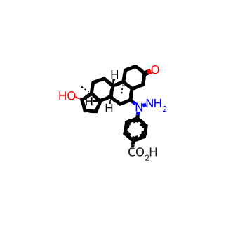 C[C@]12CC[C@H]3[C@@H](CC(N(N)c4ccc(C(=O)O)cc4)C4CC(=O)CC[C@@]43C)[C@@H]1CC[C@@H]2O